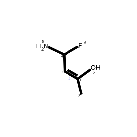 C/C(O)=C/C(N)F